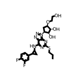 CCCSc1nc(NC2CC2c2ccc(F)c(F)c2)c2nnn([C@H]3C[C@@H](OCCO)[C@H](O)[C@@H]3O)c2n1